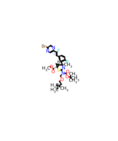 COC(=O)[C@]12C[C@H]1[C@@](C)(c1cc(/C=C(\F)c3cnc(Br)cn3)ccc1F)N=C(N(COCC[Si](C)(C)C)C(=O)OC(C)(C)C)S2